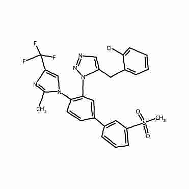 Cc1nc(C(F)(F)F)cn1-c1ccc(-c2cccc(S(C)(=O)=O)c2)cc1-n1nncc1Cc1ccccc1Cl